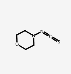 S=C=NN1CCOCC1